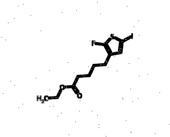 CCOC(=O)CCCCc1cc(I)sc1F